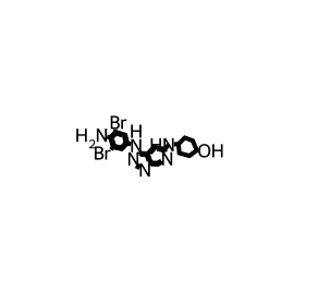 Nc1c(Br)cc(Nc2ncnc3cnc(NC4CCC(O)CC4)cc23)cc1Br